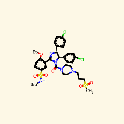 CCOc1ccc(S(=O)(=O)NC(C)(C)C)cc1C1=N[C@@H](c2ccc(Cl)cc2)[C@@H](c2ccc(Cl)cc2)N1C(=O)N1CCN(CCCS(C)(=O)=O)CC1